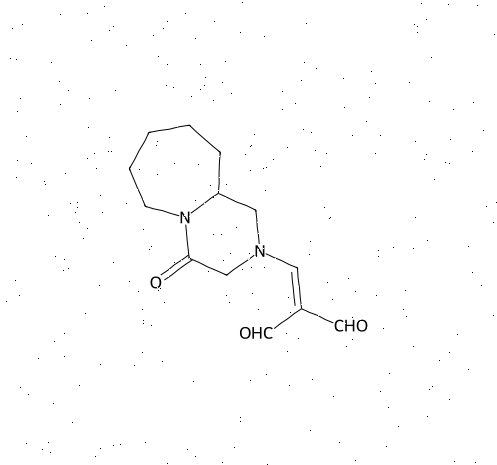 O=CC(C=O)=CN1CC(=O)N2CCCCCC2C1